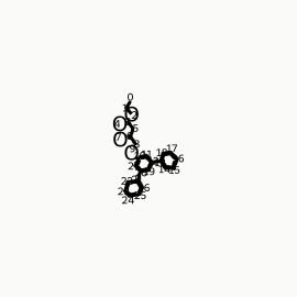 CCOC(=O)CC(=O)COc1cc(-c2ccccc2)cc(-c2ccccc2)c1